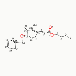 CCCCOC(=O)C=Cc1ccc(OCc2ccccc2)c(C)c1C